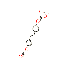 CC1(C)OC[C@H](COc2ccc(CCc3ccc(OC[C@H]4CO4)cc3)cc2)O1